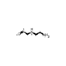 NCCNCN=O